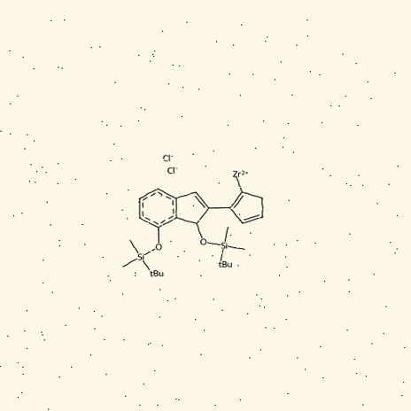 CC(C)(C)[Si](C)(C)Oc1cccc2c1C(O[Si](C)(C)C(C)(C)C)C(C1=[C]([Zr+2])CC=C1)=C2.[Cl-].[Cl-]